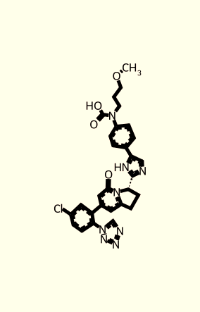 COCCCN(C(=O)O)c1ccc(-c2cnc([C@@H]3CCc4cc(-c5cc(Cl)ccc5-n5cnnn5)cc(=O)n43)[nH]2)cc1